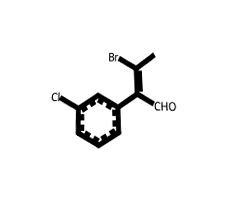 CC(Br)=C(C=O)c1cccc(Cl)c1